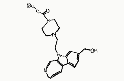 CC(C)(C)OC(=O)N1CCN(CCn2c3cnccc3c3ccc(CO)cc32)CC1